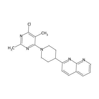 Cc1nc(Cl)c(C)c(N2CCC(c3ccc4cccnc4n3)CC2)n1